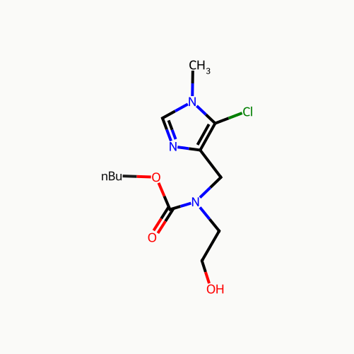 CCCCOC(=O)N(CCO)Cc1ncn(C)c1Cl